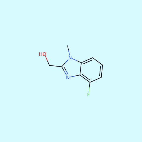 Cn1c(CO)nc2c(F)cccc21